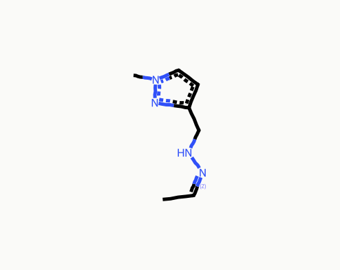 C/C=N\NCc1ccn(C)n1